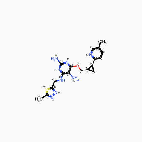 Cc1ccc([C@H]2C[C@@H]2COc2nc(N)nc(NCc3nnc(C)s3)c2N)nc1